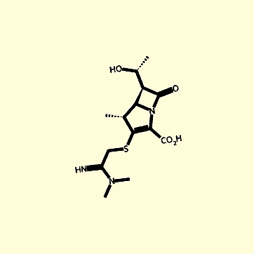 C[C@H]1C(SCC(=N)N(C)C)=C(C(=O)O)N2C(=O)[C@H]([C@@H](C)O)C12